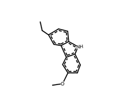 CCc1ccc2[nH]c3ccc(OC)cc3c2c1